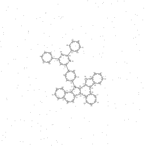 c1ccc(-c2cc(-c3ccc(-n4c5c6ccccc6ccc5c5c6ccccc6c6c7ccccc7oc6c54)cc3)nc(-c3ccccc3)n2)cc1